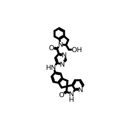 O=C(c1cc(Nc2ccc3c(c2)CC2(C3)C(=O)Nc3ncccc32)ncn1)N1C2=C(C=CCC2)CC1CO